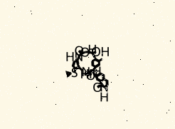 Cc1cc2ccc1[C@@H](O)COC(=O)Nc1ccc(SC3CC3)c(c1)CN(C)C(=O)[C@@H]2Nc1ccc2cc[nH]c(=O)c2c1